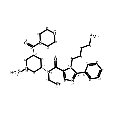 COCCCCn1c(C(=O)N(CC(C)C)[C@H]2C[C@@H](C(=O)N3CCOCC3)CN(C(=O)O)C2)cnc1-c1ccccc1